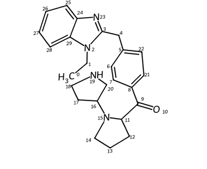 CCn1c(Cc2ccc(C(=O)C3CCCN3C3CCNC3)cc2)nc2ccccc21